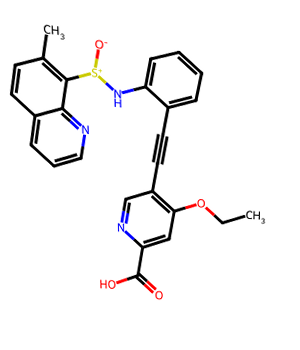 CCOc1cc(C(=O)O)ncc1C#Cc1ccccc1N[S+]([O-])c1c(C)ccc2cccnc12